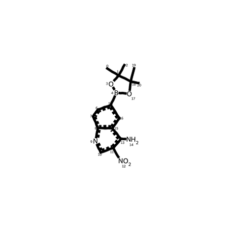 CC1(C)OB(c2ccc3ncc([N+](=O)[O-])c(N)c3c2)OC1(C)C